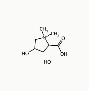 C[N+]1(C)CC(O)CC1C(=O)O.[OH-]